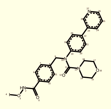 O=C(NOI)c1ccc(CN(C(=O)N2CCOCC2)c2ccc(-c3cccnc3)cc2)cc1